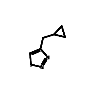 c1snnc1CC1CC1